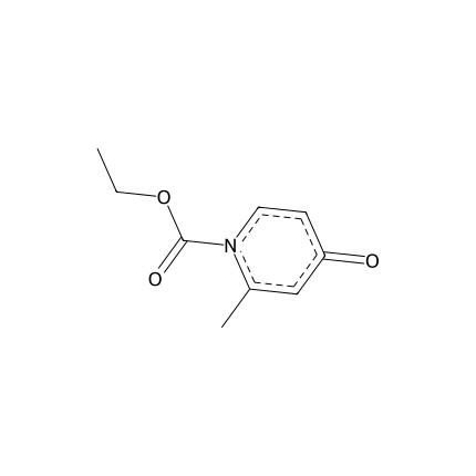 CCOC(=O)n1ccc(=O)cc1C